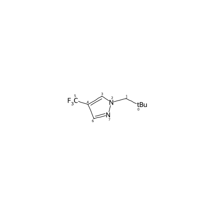 CC(C)(C)Cn1cc(C(F)(F)F)cn1